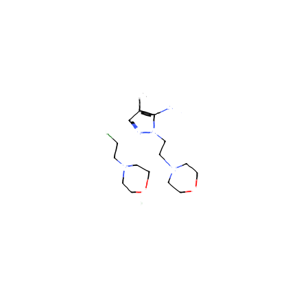 Cl.ClCCN1CCOCC1.N#Cc1cnn(CCN2CCOCC2)c1N